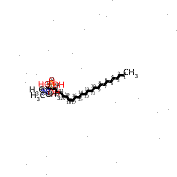 CCCCCCCCCCCCCCCCC/C=C\CCCCCC(O)(C[N+](C)(C)C)P(=O)(O)O